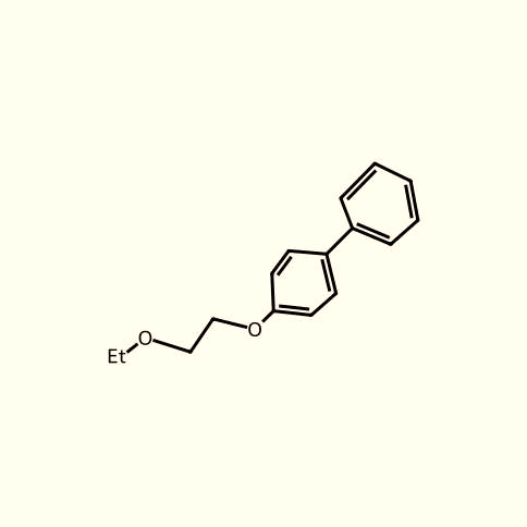 CCOCCOc1ccc(-c2ccccc2)cc1